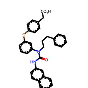 O=C(O)Cc1ccc(Sc2cccc(N(CCCc3ccccc3)C(=O)Nc3ccc4ccccc4c3)c2)cc1